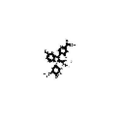 Cc1cc(-n2c(C(C)C)c(-c3ccc(C(=O)O)nc3)c3cc(F)ccc32)ccc1F